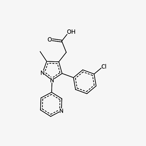 Cc1nn(-c2cccnc2)c(-c2cccc(Cl)c2)c1CC(=O)O